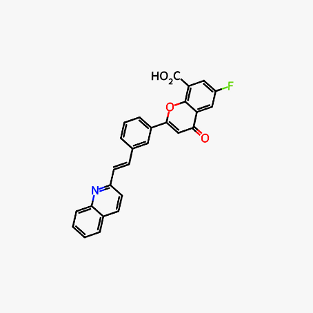 O=C(O)c1cc(F)cc2c(=O)cc(-c3cccc(C=Cc4ccc5ccccc5n4)c3)oc12